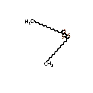 CCCCCCCCCCCCCCCc1csc2c1sc1c(CCCCCCCCCCCCCCC)csc12